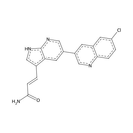 NC(=O)C=Cc1c[nH]c2ncc(-c3cnc4ccc(Cl)cc4c3)cc12